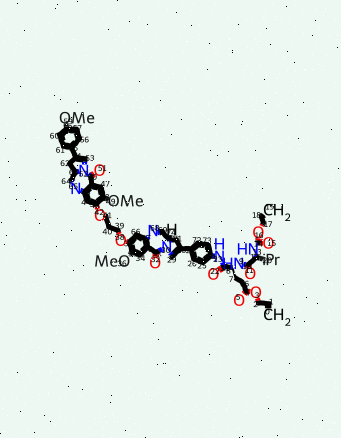 C=CCOC(=O)CC[C@H](NC(=O)C(NC(=O)OCC=C)C(C)C)C(=O)Nc1ccc(C2=CN3C(=O)c4cc(OC)c(OCCCOc5cc6c(cc5OC)C(=O)N5C=C(c7ccc(OC)cc7)CC5C=N6)cc4N=C[C@@H]3C2)cc1